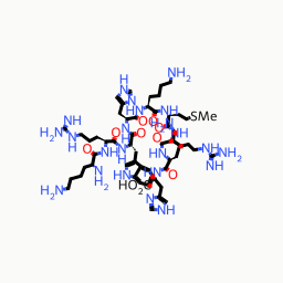 CSCC[C@H](NC(=O)[C@H](CCCCN)NC(=O)[C@H](Cc1c[nH]cn1)NC(=O)[C@H](Cc1c[nH]c2ccccc12)NC(=O)[C@H](CCCNC(=N)N)NC(=O)[C@@H](N)CCCCN)C(=O)N[C@@H](CCCNC(=N)N)C(=O)N[C@@H](CCCCN)C(=O)N[C@@H](Cc1c[nH]cn1)C(=O)O